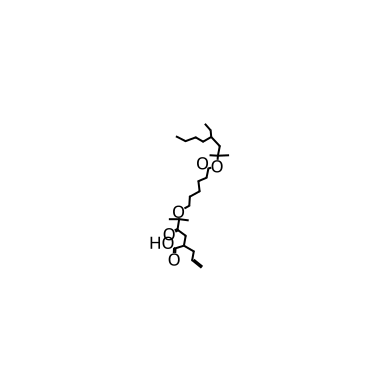 C=CCC(CC(=O)C(C)(C)OCCCCCC(=O)OC(C)(C)CC(CC)CCCC)C(=O)O